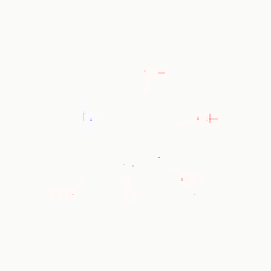 Cn1ccc(=O)c(O)c1.OCC(O)CO